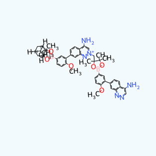 COc1ccc(B2OC(C)(C)C(C)(C[n+]3cc(N)c4ccc(-c5cc(B6O[C@@H]7C[C@@H]8C[C@@H](C8(C)C)[C@]7(C)O6)ccc5OC)cc4n3)O2)cc1-c1ccc2c(N)cnnc2c1